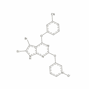 CCc1[nH]c2nc(Oc3ccc[n+]([O-])c3)nc(Oc3cccc(C#N)c3)c2c1Br